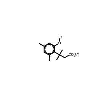 CCOC(=O)CC(C)(C)c1c(C)cc(C)cc1OCC